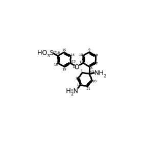 NC1=CCC(N)(c2ccccc2Oc2ccc(S(=O)(=O)O)cc2)C=C1